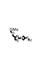 COCOCC1CSC(N2CC(SC(C)=O)C2)=N1